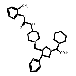 Cc1ccccc1OC(=O)NC1CCN(CC2CN(C(C(=O)O)C3CCCCC3)CC2c2ccccc2)CC1